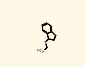 O=C(O)CSC1CCc2ccccc21